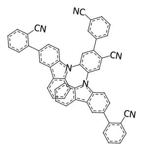 N#Cc1cccc(-c2cc(-n3c4ccccc4c4cc(-c5ccccc5C#N)ccc43)c(-n3c4ccccc4c4cc(-c5ccccc5C#N)ccc43)cc2C#N)c1